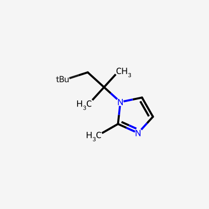 Cc1nccn1C(C)(C)CC(C)(C)C